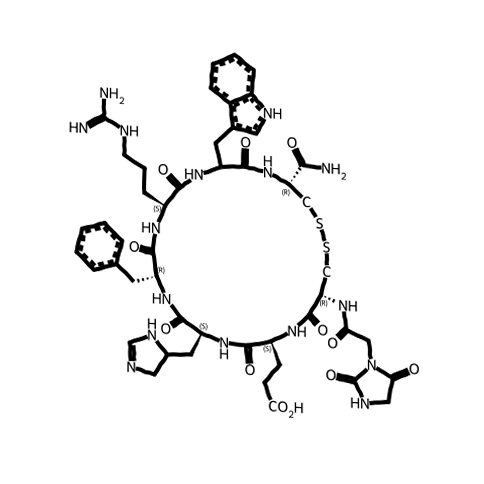 N=C(N)NCCC[C@@H]1NC(=O)[C@@H](Cc2ccccc2)NC(=O)[C@H](CC2CN=CN2)NC(=O)[C@H](CCC(=O)O)NC(=O)[C@@H](NC(=O)CN2C(=O)CNC2=O)CSSC[C@@H](C(N)=O)NC(=O)C(Cc2c[nH]c3ccccc23)NC1=O